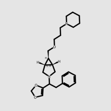 C1=C(C(Cc2ccccc2)N2C[C@@H]3[C@@H](COCCCN4CCCCC4)[C@@H]3C2)OCO1